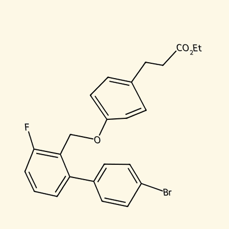 CCOC(=O)CCc1ccc(OCc2c(F)cccc2-c2ccc(Br)cc2)cc1